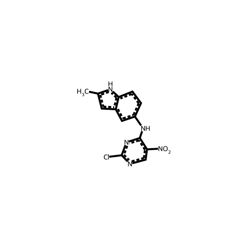 Cc1cc2cc(Nc3nc(Cl)ncc3[N+](=O)[O-])ccc2[nH]1